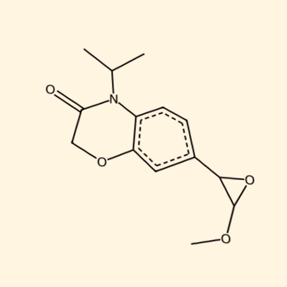 COC1OC1c1ccc2c(c1)OCC(=O)N2C(C)C